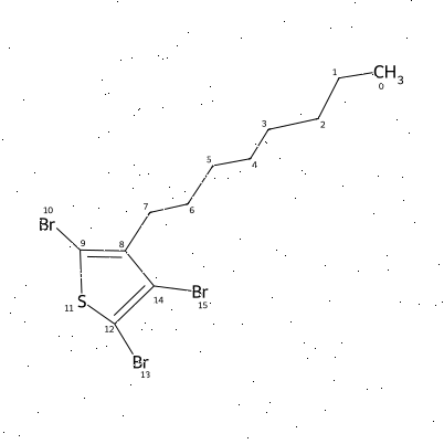 CCCCCCCCc1c(Br)sc(Br)c1Br